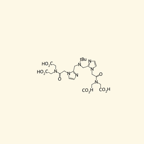 CC(C)(C)N(Cc1nccn1CC(=O)N(CC(=O)O)CC(=O)O)Cc1nccn1CC(=O)N(CC(=O)O)CC(=O)O